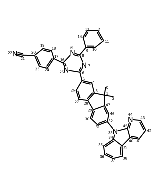 CC1(C)c2cc(-c3nc(-c4ccccc4)nc(-c4ccc(C#N)cc4)n3)ccc2-c2ccc(-n3c4ccccc4c4cccnc43)cc21